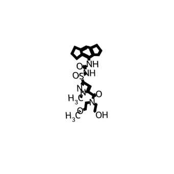 COCCN(CCO)C(=O)c1cc([S+]([O-])NC(=O)Nc2c3c(cc4c2CCC4)CCC3)nn1C